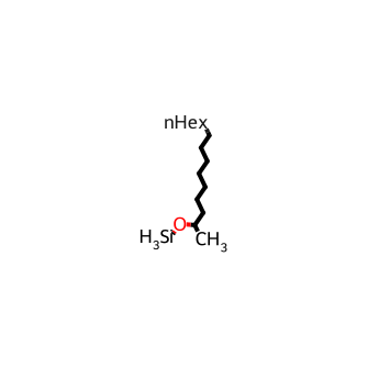 CCCCCCCCCCCCCC(C)O[SiH3]